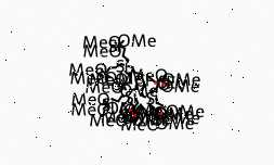 CCOCCC[Si](CCC[Si](CCC[Si](OC)(OC)OC)(CCC[Si](OC)(OC)OC)CCC[Si](OC)(OC)OC)(CCC[Si](CCC[Si](OC)(OC)OC)(CCC[Si](OC)(OC)OC)CCC[Si](OC)(OC)OC)CCC[Si](CCC[Si](OC)(OC)OC)(CCC[Si](OC)(OC)OC)CCC[Si](OC)(OC)OC